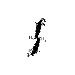 Cc1cc2cc3c(cc2cc1CCc1cc2cc4c(cc2cc1C)-c1ccc2c5ccc6c7c(ccc(c8ccc-4c1c28)c75)C(=O)N(c1c(C(C)C)cc(OC(O)C(C)C)cc1C(C)C)C6=O)C1=CC=C2c4ccc5c6c(ccc(c46)C4=CC=C3C1C42)C(=O)N(c1c(C(C)C)cc(OC(O)C(C)C)cc1C(C)C)C5=O